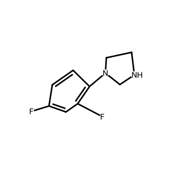 Fc1ccc(N2CCNC2)c(F)c1